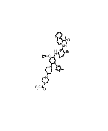 Cn1cc(-c2cc(Nc3ncc(Br)c(Nc4ccc5nccnc5c4P(C)(C)=O)n3)c(OC3CC3)cc2N2CCC(N3CCN(C(=O)C(F)(F)F)CC3)CC2)cn1